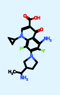 CC(N)C1CCN(c2c(F)c(N)c3c(=O)c(C(=O)O)cn(C4CC4)c3c2F)C1